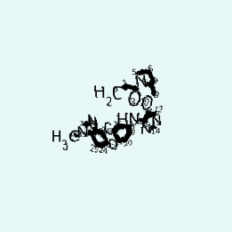 C=CC(=O)N1CCCC1COc1cncnc1Nc1ccc(Oc2ccc3c(c2)ncn3C)c(C)c1